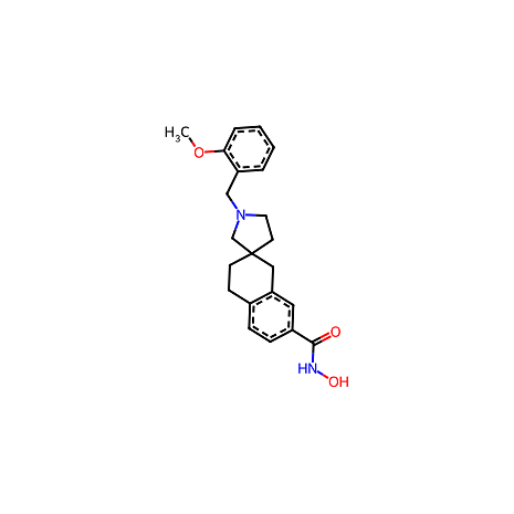 COc1ccccc1CN1CCC2(CCc3ccc(C(=O)NO)cc3C2)C1